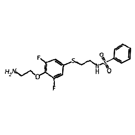 NCCOc1c(F)cc(SCCNS(=O)(=O)c2ccccc2)cc1F